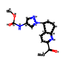 COC(=O)c1ccc2c(-n3cc(NC(=O)OC(C)(C)C)cn3)cccc2n1